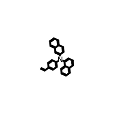 C=Cc1ccc(N(c2ccc3ccccc3c2)c2cccc3ccccc23)cc1